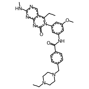 CCc1c2cnc(NC)nc2nc(=O)n1-c1cc(NC(=O)c2ccc(CN3CCN(CC)CC3)cc2)cc(OC)c1